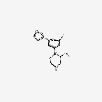 CC1CNCCN1c1cc(F)cc(-c2ccoc2)c1